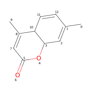 CC1=CC2OC(=O)C=C(C)C2C=C1